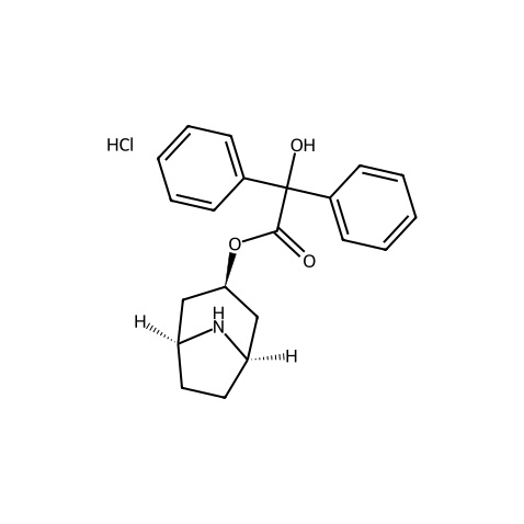 Cl.O=C(O[C@H]1C[C@H]2CC[C@@H](C1)N2)C(O)(c1ccccc1)c1ccccc1